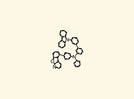 c1ccc(N(c2ccc(-c3cccc4oc5ncccc5c34)cc2)c2cccc(-c3cccc(-n4c5ccccc5c5ccccc54)c3)c2)cc1